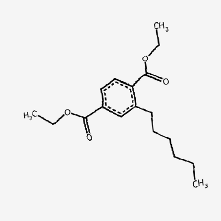 CCCCCCc1cc(C(=O)OCC)ccc1C(=O)OCC